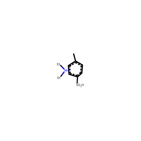 CCNCC.Cc1ccc(S(=O)(=O)O)cc1